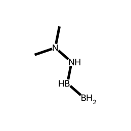 BBNN(C)C